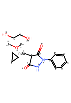 C1CC1.CCCCC1C(=O)NN(c2ccccc2)C1=O.CCOCC.OCCO